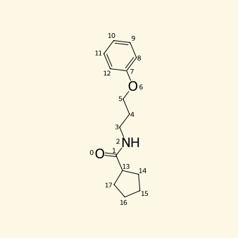 O=C(NCCCOc1ccccc1)C1CCCC1